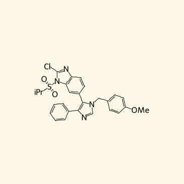 COc1ccc(Cn2cnc(-c3ccccc3)c2-c2ccc3nc(Cl)n(S(=O)(=O)C(C)C)c3c2)cc1